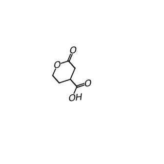 O=C1CC(C(=O)O)CCO1